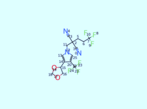 N#CC(C#N)(CCC(F)(F)F)Cn1cc(C2COCO2)c(C(F)(F)F)c1